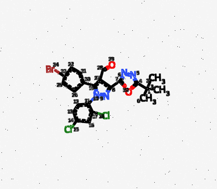 CC(C)(C)c1nnc(-c2nn(-c3ccc(Cl)cc3Cl)c(-c3ccc(Br)cc3)c2C=O)o1